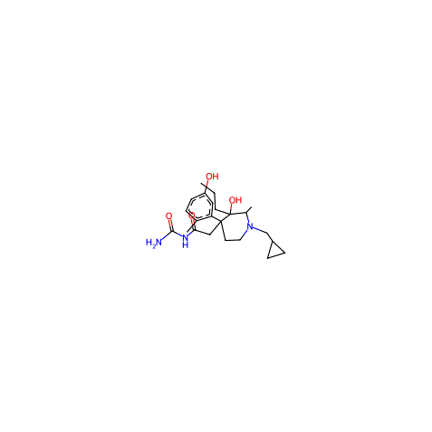 CCCC1(O)C(C)N(CC2CC2)CCC1(CC(=O)NC(N)=O)c1cc(O)ccc1C